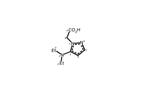 CCN(CC)c1ccnn1CC(=O)O